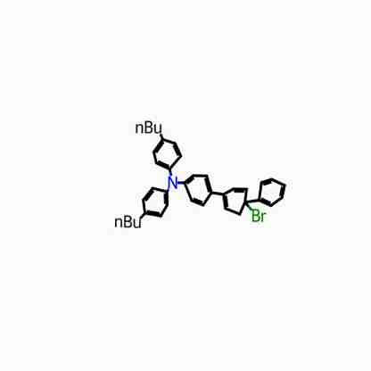 CCCCc1ccc(N(c2ccc(CCCC)cc2)c2ccc(C3=CCC(Br)(c4ccccc4)C=C3)cc2)cc1